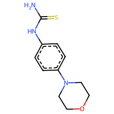 NC(=S)Nc1ccc(N2CCOCC2)cc1